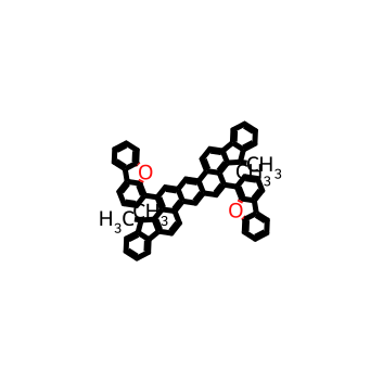 CC1(C)c2ccccc2-c2ccc3c(c(-c4cccc5c4oc4ccccc45)cc4cc5c(cc(-c6cccc7c6oc6ccccc67)c6c7c(ccc65)-c5ccccc5C7(C)C)cc43)c21